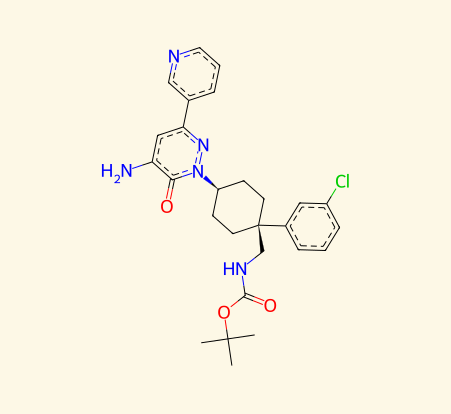 CC(C)(C)OC(=O)NC[C@]1(c2cccc(Cl)c2)CC[C@H](n2nc(-c3cccnc3)cc(N)c2=O)CC1